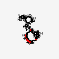 CC[C@H]1OC(=O)[C@H](C)[C@@H](O[C@H]2C[C@@](C)(OC)[C@@H](OC(=O)NCCNCC3=C4NC(=O)/C(C)=C\C=C\[C@H](C)[C@H](O)[C@@H](C)[C@@H](O)[C@@H](C)[C@H](OC(C)=O)[C@H](C)[C@@H](OC)/C=C/O[C@@]5(C)Oc6c(C)c(O)c(c(c6C5=O)C3=O)C4=O)[C@H](C)O2)[C@H](C)[C@@H](O[C@@H]2O[C@H](C)C[C@H](N(C)C)[C@H]2O)[C@](C)(OC)C[C@@H](C)C(=O)[C@H](C)[C@@H](O)[C@]1(C)O